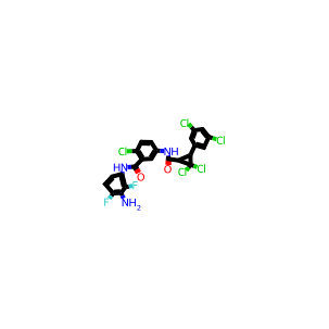 Nc1c(F)ccc(NC(=O)c2cc(NC(=O)C3C(c4cc(Cl)cc(Cl)c4)C3(Cl)Cl)ccc2Cl)c1F